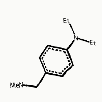 CCN(CC)c1ccc(CNC)cc1